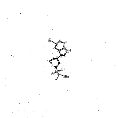 CN(C(C)(C)C)S(=O)(=O)c1cccc(-c2c[nH]c3ncc(Br)cc23)c1